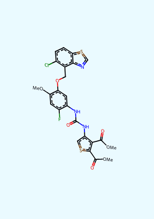 COC(=O)c1scc(NC(=O)Nc2cc(OCc3c(Cl)ccc4scnc34)c(OC)cc2F)c1C(=O)OC